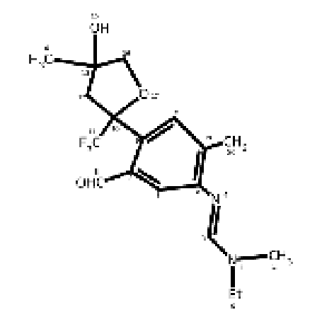 CCN(C)/C=N/c1cc(C=O)c(C2(C(F)(F)F)CC(C)(O)CO2)cc1C